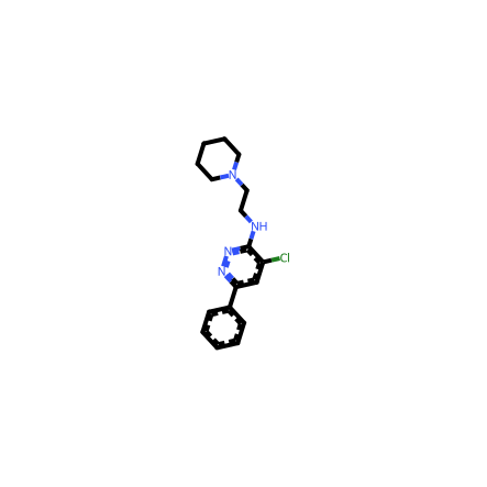 Clc1cc(-c2ccccc2)nnc1NCCN1CCCCC1